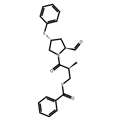 C[C@@H](CSC(=O)c1ccccc1)C(=O)N1C[C@H](Sc2ccccc2)C[C@H]1C=O